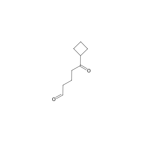 O=CCCCC(=O)C1CCC1